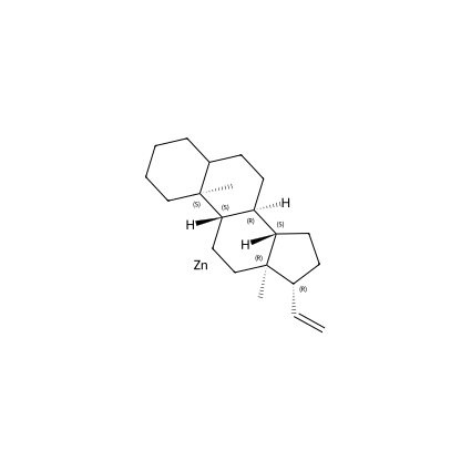 C=C[C@H]1CC[C@H]2[C@@H]3CCC4CCCC[C@]4(C)[C@H]3CC[C@]12C.[Zn]